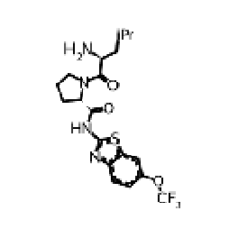 CC(C)C[C@H](N)C(=O)N1CCC[C@H]1C(=O)Nc1nc2ccc(OC(F)(F)F)cc2s1